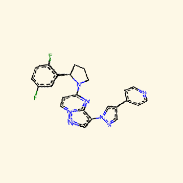 Fc1ccc(F)c([C@H]2CCCN2c2ccn3ncc(-n4cc(-c5ccncc5)cn4)c3n2)c1